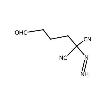 N#CC(C#N)(CCCC=O)N=N